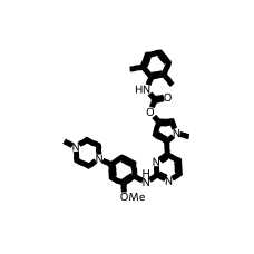 COc1cc(N2CCN(C)CC2)ccc1Nc1nccc(-c2cc(OC(=O)Nc3c(C)cccc3C)cn2C)n1